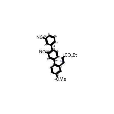 CCOC(=O)/C=C/c1cc(OC)ccc1-c1ccc(-c2cccc(C#N)c2)c(C#N)c1